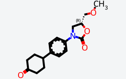 COC[C@H]1CN(c2ccc(C3CCC(=O)CC3)cc2)C(=O)O1